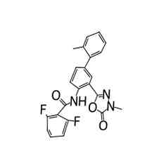 Cc1ccccc1-c1ccc(NC(=O)c2c(F)cccc2F)c(-c2nn(C)c(=O)o2)c1